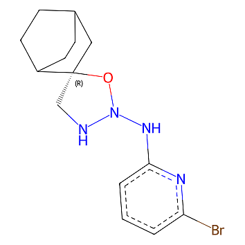 Brc1cccc(NN2NC[C@]3(CC4CCC3CC4)O2)n1